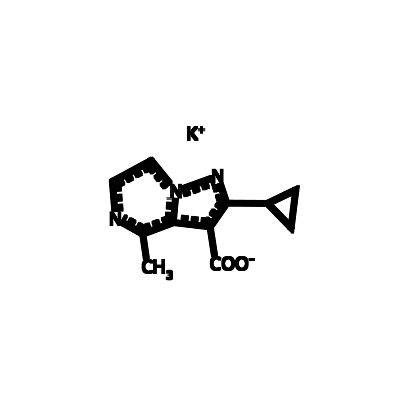 Cc1nccn2nc(C3CC3)c(C(=O)[O-])c12.[K+]